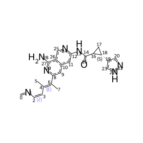 C=N/C=C\C(C)=C(/C)c1cc2cc(NC(=O)C3C[C@@H]3c3cn[nH]c3)ncc2c(N)n1